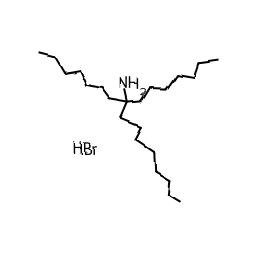 Br.CCCCCCCCC(N)(CCCCCCC)CCCCCCC